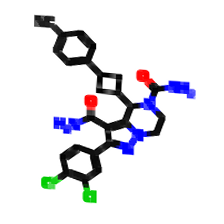 N#Cc1ccc(C2CC(C3c4c(C(N)=O)c(-c5ccc(Cl)c(Cl)c5)nn4CCN3C(N)=O)C2)cc1